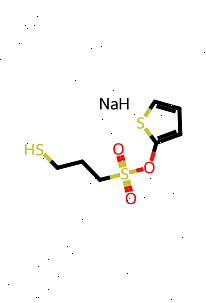 O=S(=O)(CCCS)Oc1cccs1.[NaH]